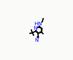 CCNc1cc(C)c(C#N)c(C(C)(C)C)n1